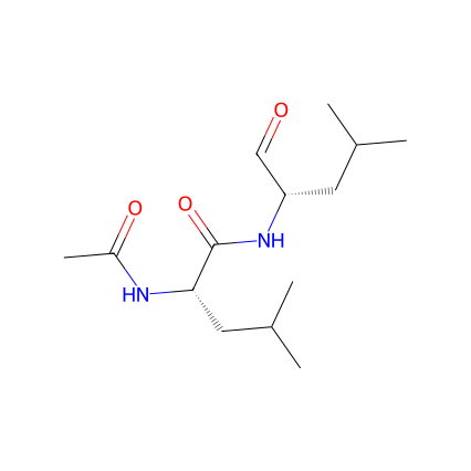 CC(=O)N[C@@H](CC(C)C)C(=O)N[C@H](C=O)CC(C)C